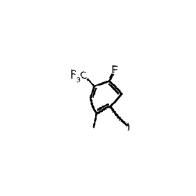 Cc1cc(C(F)(F)F)c(F)cc1I